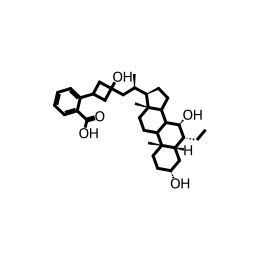 CC[C@H]1[C@@H](O)C2C3CC[C@H]([C@H](C)CC4(O)CC(c5ccccc5C(=O)O)C4)[C@@]3(C)CCC2[C@@]2(C)CC[C@@H](O)C[C@@H]12